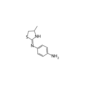 CC1CSC(=Nc2ccc(N)cc2)N1